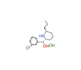 CCC[C@H]1CCC[C@H](C(O)c2cccc(Cl)c2)N1.Cl